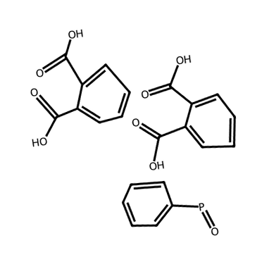 O=C(O)c1ccccc1C(=O)O.O=C(O)c1ccccc1C(=O)O.O=Pc1ccccc1